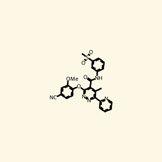 COc1cc(C#N)ccc1Oc1nnc(-c2ccccn2)c(C)c1C(=O)Nc1cccc(S(C)(=O)=O)c1